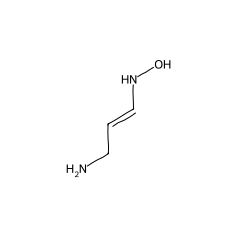 NCC=CNO